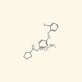 Fc1ccccc1COc1ccc(CNC2CCCC2)cc1.NC(=O)O